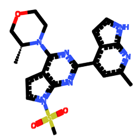 Cc1cc(-c2nc(N3CCOC[C@H]3C)c3ccn(S(C)(=O)=O)c3n2)c2cc[nH]c2n1